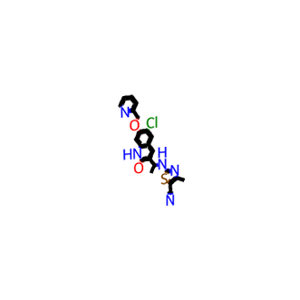 Cc1nc(NC(C)c2cc3cc(Cl)c(OCc4ccccn4)cc3[nH]c2=O)sc1C#N